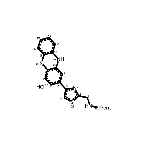 CCCCCNCc1nc(-c2ccc3c(c2)Nc2ccccc2S3)cs1.Cl